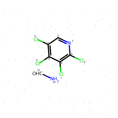 Clc1cnc(Cl)c(Cl)c1Cl.NC=O